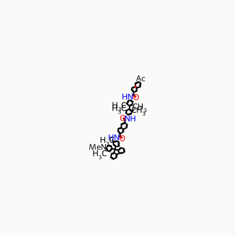 CNc1ccc(C2(c3ccc(NC(=O)c4ccc5cc(C(=O)Nc6cc(C)c(-c7c(C)cc(NC(=O)c8ccc9cc(C(C)=O)ccc9c8)cc7C)c(C)c6)ccc5c4)c(C)c3)c3ccccc3-c3ccccc32)cc1C